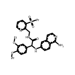 CCOc1cc(C(Nc2ccc3c(N)nccc3c2)C(=O)NCc2ncccc2S(=O)(=O)C(C)C)ccc1OC(C)C